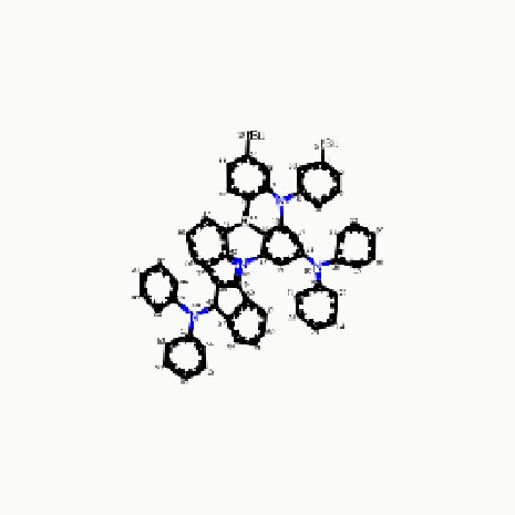 CC(C)(C)c1cccc(N2c3cc(C(C)(C)C)ccc3B3c4c2cc(N(c2ccccc2)c2ccccc2)cc4-n2c4c(c5cccc3c52)C(N(c2ccccc2)c2ccccc2)c2ccccc2-4)c1